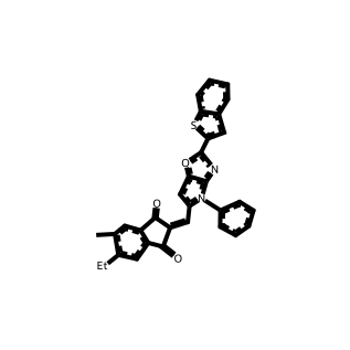 CCc1cc2c(cc1C)C(=O)/C(=C\c1cc3oc(-c4cc5ccccc5s4)nc3n1-c1ccccc1)C2=O